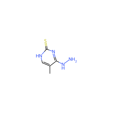 Cc1c[nH]c(=S)nc1NN